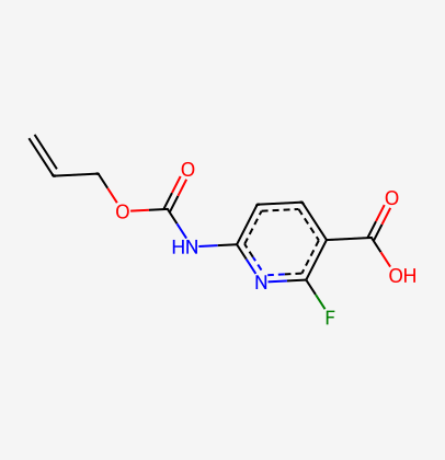 C=CCOC(=O)Nc1ccc(C(=O)O)c(F)n1